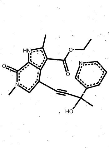 CCOC(=O)c1c(C)[nH]c2c(=O)n(C)cc(C#CC(C)(O)c3cccnc3)c12